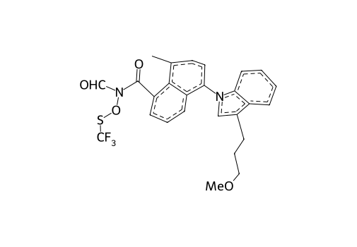 COCCCc1cn(-c2ccc(C)c3c(C(=O)N(C=O)OSC(F)(F)F)cccc23)c2ccccc12